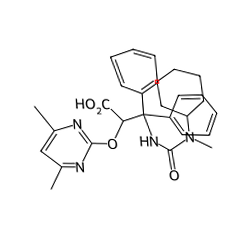 Cc1cc(C)nc(OC(C(=O)O)C(NC(=O)N(C)C2CCCCC2)(c2ccccc2)c2ccccc2)n1